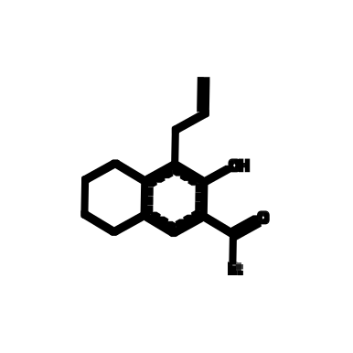 C=CCc1c(O)c(C(=O)CC)cc2c1CCCC2